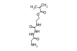 C=C(C)C(=O)OCCNC(=O)NNC(=O)CN